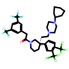 O=C(Cc1cc(C(F)(F)F)cc(C(F)(F)F)c1)N1CCC[C@](CCN2CCN(C3CCCCC3)CC2)(c2ccc(C(Cl)(Cl)Cl)c(C(Cl)(Cl)Cl)c2)C1